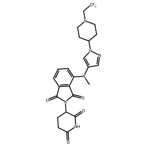 CN(c1cnn(C2CCN(CC(F)(F)F)CC2)c1)c1cccc2c1C(=O)N(C1CCC(=O)NC1=O)C2=O